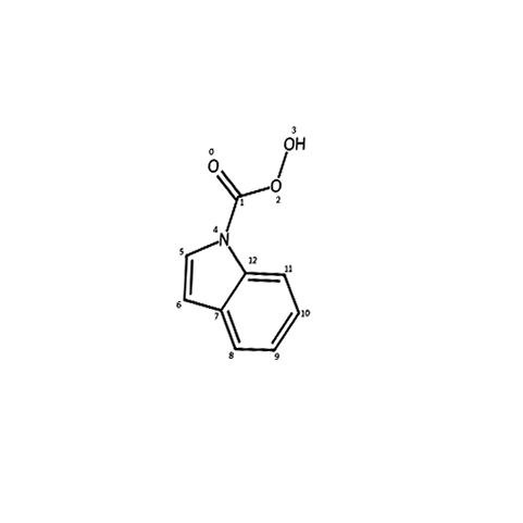 O=C(OO)n1ccc2ccccc21